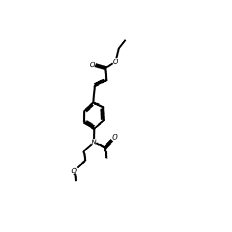 CCOC(=O)/C=C/c1ccc(N(CCOC)C(C)=O)cc1